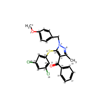 COc1ccc(Cn2nc(C)c(C(=O)c3ccccc3)c2Sc2cc(Cl)cc(Cl)c2)cc1